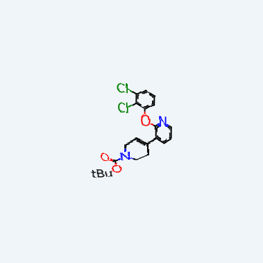 CC(C)(C)OC(=O)N1CC=C(c2cccnc2Oc2cccc(Cl)c2Cl)CC1